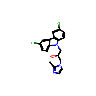 Cc1nccn1CC(O)Cn1c2ccc(Cl)cc2c2cc(Cl)ccc21